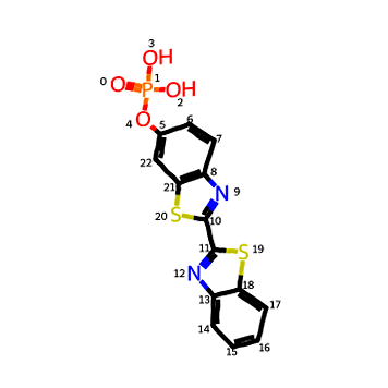 O=P(O)(O)Oc1ccc2nc(-c3nc4ccccc4s3)sc2c1